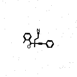 Cc1ccccc1C(=O)C(C)(C#Cc1ccccc1)CCC#N